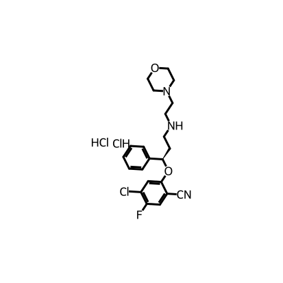 Cl.Cl.N#Cc1cc(F)c(Cl)cc1O[C@H](CCNCCN1CCOCC1)c1ccccc1